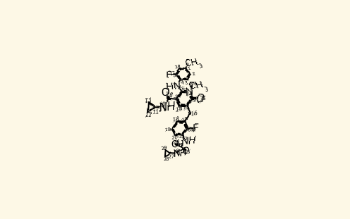 Cc1ccc(Nc2c(C(=O)NC3CC3)cc(Cc3cccc(NS(=O)(=O)NC4CC4)c3F)c(=O)n2C)c(F)c1